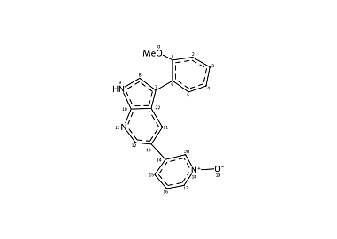 COc1ccccc1-c1c[nH]c2ncc(-c3ccc[n+]([O-])c3)cc12